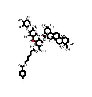 CC1O[C@@H](OC2C(O)[C@@H](NC(=O)CCCCCNC(=O)c3ccc(I)cc3)C(CO)O[C@H]2OC(=O)[C@]23CCC(C)(C)CC2C2=CCC4C5(C)CC[C@H](O)C(C)(CO)C5CCC4(C)C2(C)CC3O)C(CO)C(O)[C@H]1O[C@@H]1OC[C@@H](O)C(O)C1O